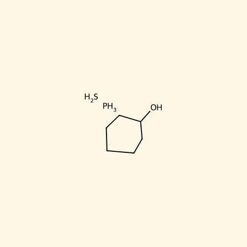 OC1CCCCC1.P.S